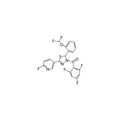 O=C(c1c(F)cc(F)cc1F)N1N=C(c2ccc(F)nc2)SC1c1ccccc1OC(F)F